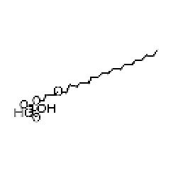 CCCCCCCCCCCCCCCCCCOCCCOC(=O)P(=O)(O)O